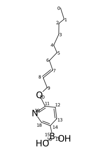 CCCCCCCC=CCOc1ccc(B(O)O)cn1